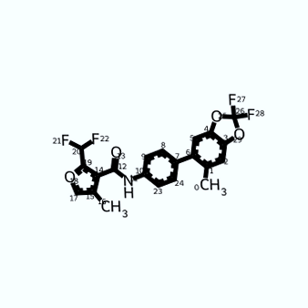 Cc1cc2c(cc1-c1ccc(NC(=O)c3c(C)coc3C(F)F)cc1)OC(F)(F)O2